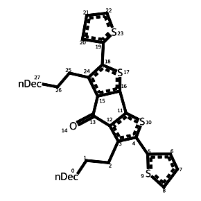 CCCCCCCCCCCCc1c(-c2cccs2)sc2c1C(=O)c1c-2sc(-c2cccs2)c1CCCCCCCCCCCC